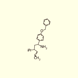 C=C=CC(CC(N)c1ccc(OCc2ccccc2)cc1)C(C)C